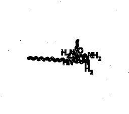 CCCCCCCCCCCCCCCCNC(CCCCN)C(=O)[C@](CCCCN)(C(=O)O)N(N)C(=O)CCCC